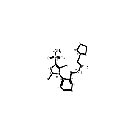 CC1=C(S(N)(=O)=O)SC(C)N1c1ccccc1CN[C@@H](C)CC1CCCC1